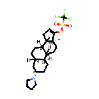 C[C@]12CC[C@H]3[C@@H](CC[C@H]4C[C@@H](N5CCCC5)CC[C@@H]43)[C@@H]1CC=C2OS(=O)(=O)C(F)(F)F